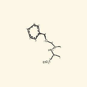 CCOC(=O)C(C)NN(C)COCc1ccccc1